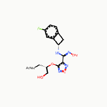 CC(=O)NC[C@@H](CO)Oc1nonc1/C(=N\O)N[C@H]1Cc2ccc(F)cc21